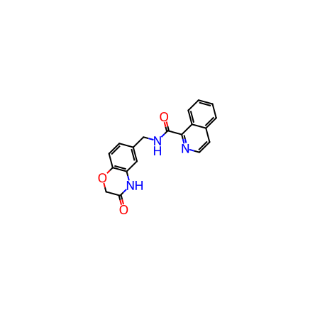 O=C1COc2ccc(CNC(=O)c3nccc4ccccc34)cc2N1